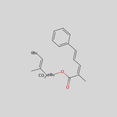 CC(=CC(C)(C)C)C(=O)O.CCCCOC(=O)C(C)=CC=Cc1ccccc1